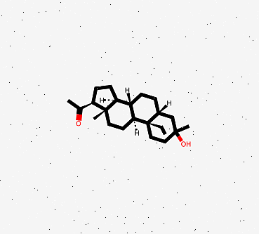 CC[C@]12CCC(C)(O)C[C@H]1CC[C@H]1[C@@H]3CC[C@H](C(C)=O)[C@@]3(C)CC[C@@H]12